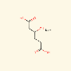 O=C(O)CCC(O)CC(=O)O.[NaH]